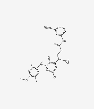 COc1nc(C)c(Nc2nc(Cl)cn(C(COC(=O)Nc3cccc(C#N)c3)C3CC3)c2=O)cc1C